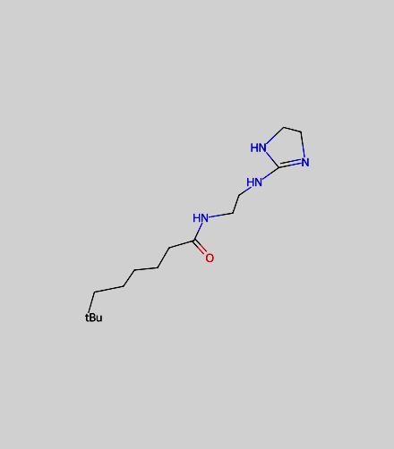 CC(C)(C)CCCCCC(=O)NCCNC1=NCCN1